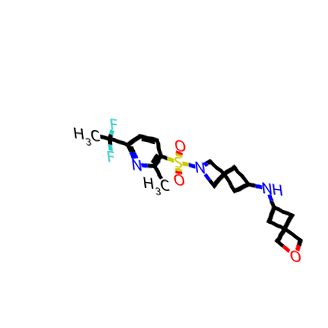 Cc1nc(C(C)(F)F)ccc1S(=O)(=O)N1CC2(CC(NC3CC4(COC4)C3)C2)C1